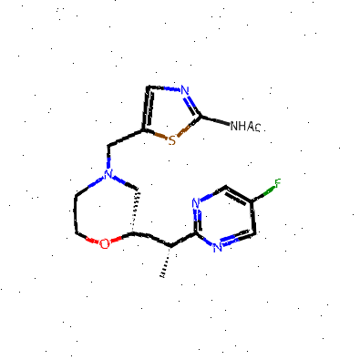 CC(=O)Nc1ncc(CN2CCO[C@@H]([C@@H](C)c3ncc(F)cn3)C2)s1